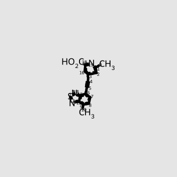 Cc1cc(C#Cc2ccc(C)c3nsnc23)cc(C(=O)O)n1